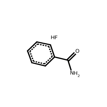 F.NC(=O)c1ccccc1